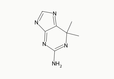 CC1(C)N=C(N)N=C2N=CN=C21